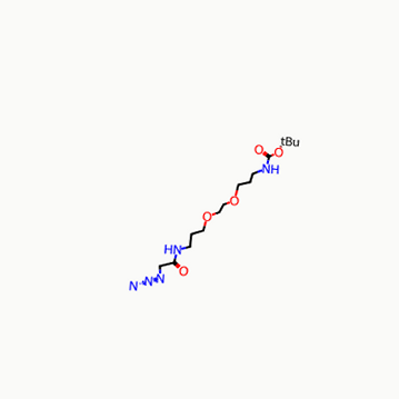 CC(C)(C)OC(=O)NCCCOCCOCCCNC(=O)CN=[N+]=[N-]